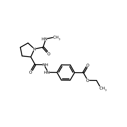 CCOC(=O)c1ccc(NNC(=O)C2CCCN2C(=O)NC)cc1